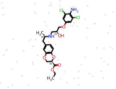 CCOC(=O)[C@H]1COc2cc(C[C@@H](C)NC[C@H](O)COc3cc(Cl)c(N)c(Cl)c3)ccc2O1